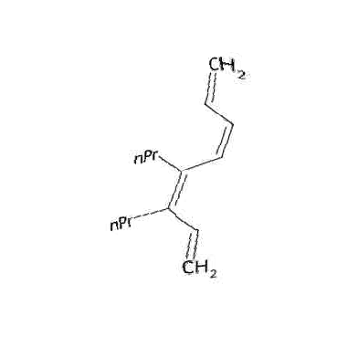 C=C/C=C\C(CCC)=C(/C=C)CCC